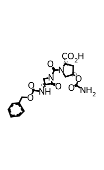 NC(=O)O[C@H]1C[C@@H](C(=O)O)N(C(=O)N2C[C@H](NC(=O)OCc3ccccc3)C2=O)C1